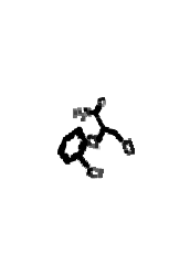 Clc1ccccc1.NC(=O)C(Cl)CCl